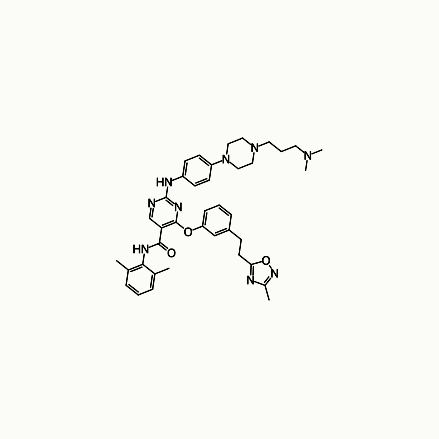 Cc1noc(CCc2cccc(Oc3nc(Nc4ccc(N5CCN(CCCN(C)C)CC5)cc4)ncc3C(=O)Nc3c(C)cccc3C)c2)n1